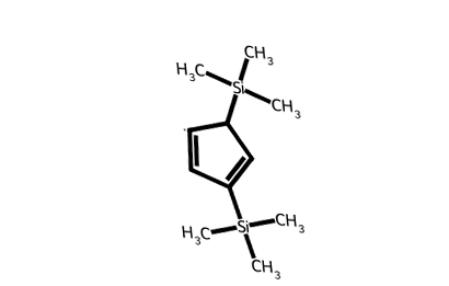 C[Si](C)(C)C1=CC([Si](C)(C)C)[C]=C1